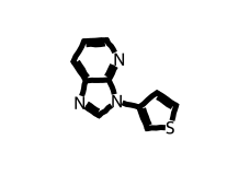 c1cnc2c(c1)ncn2-c1ccsc1